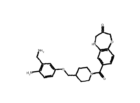 NCc1cc(OCC2CCN(C(=O)c3ccc4c(c3)NCC(=O)CO4)CC2)ccc1N